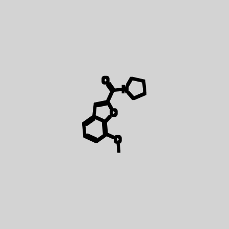 COc1cccc2cc(C(=O)N3CCCC3)oc12